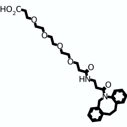 O=C(O)CCOCCOCCOCCOCCC(=O)NCCC(=O)N1Cc2ccccc2CCc2ccccc21